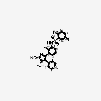 Cc1c(-c2ccncc2)c(-c2cccc(NS(=O)(=O)c3cc(F)ccc3F)c2F)nn1C#N